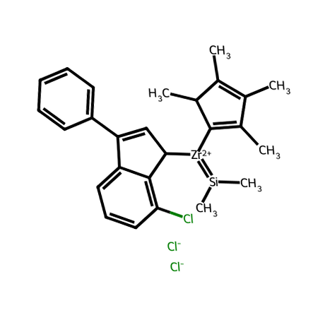 CC1=C(C)C(C)[C]([Zr+2]([CH]2C=C(c3ccccc3)c3cccc(Cl)c32)=[Si](C)C)=C1C.[Cl-].[Cl-]